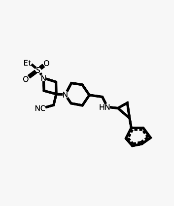 CCS(=O)(=O)N1CC(CC#N)(N2CCC(CNC3CC3c3ccccc3)CC2)C1